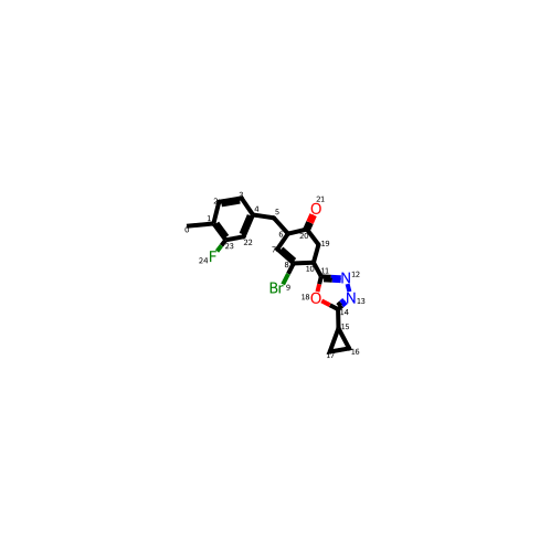 Cc1ccc(CC2C=C(Br)C(c3nnc(C4CC4)o3)CC2=O)cc1F